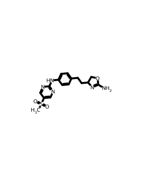 CS(=O)(=O)c1cnc(Nc2ccc(CCC3COC(N)=N3)cc2)nc1